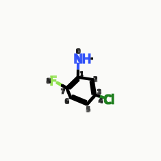 [NH]c1cc(Cl)ccc1F